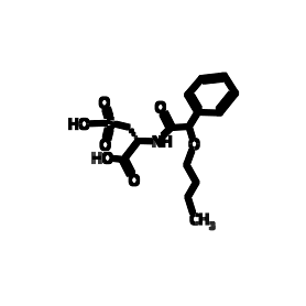 CCCCOC(C(=O)N[C@@H](CS(=O)(=O)O)C(=O)O)c1ccccc1